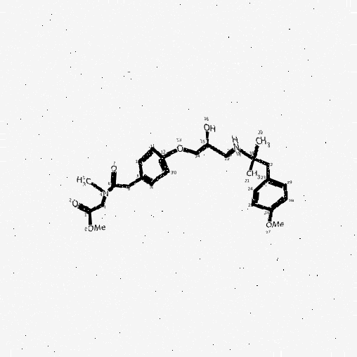 COC(=O)CN(C)C(=O)Cc1ccc(OC[C@@H](O)CNC(C)(C)Cc2ccc(OC)cc2)cc1